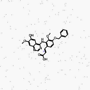 COc1cc2ncnc(Nc3c(/C=C/C(=O)O)ccc(OCc4ccccc4)c3OC)c2cc1O